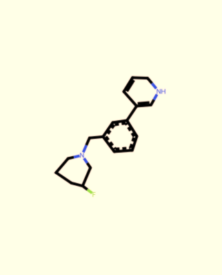 FC1CCCN(Cc2cccc(C3=CNCC=C3)c2)C1